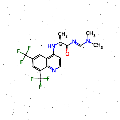 C[C@H](Nc1ccnc2c(C(F)(F)F)cc(C(F)(F)F)cc12)C(=O)N=CN(C)C